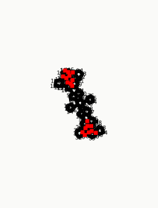 Cc1cc(-c2ccc3c4c(-c5ccccc5)c5c6ccc(-c7cc(C)c8c(c7)C7(C)CCCCC7(C)N8c7ccccc7)c7c(-c8cc(C)c9c(c8)C8(C)CCCCC8(C)N9c8ccccc8)ccc(c5c(-c5ccccc5)c4c4ccc(-c5cc(C)c8c(c5)C5(C)CCCCC5(C)N8c5ccccc5)c2c34)c76)cc2c1N(c1ccccc1)C1(C)CCCCC21C